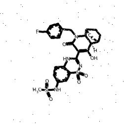 CS(=O)(=O)Nc1ccc2c(c1)S(=O)(=O)N=C(C1=C(O)[C@@H]3C4CCC(CC4)C3N(Cc3ccc(F)cc3)C1=O)N2